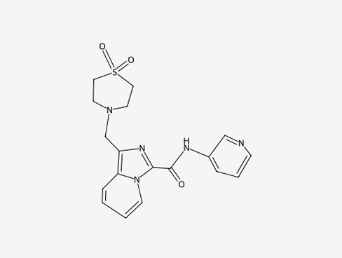 O=C(Nc1cccnc1)c1nc(CN2CCS(=O)(=O)CC2)c2ccccn12